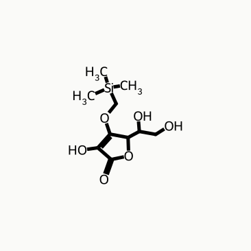 C[Si](C)(C)COC1=C(O)C(=O)OC1C(O)CO